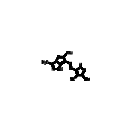 Cc1n[nH]c2c(N=Nc3[nH]nc(C(C)(C)C)c3C#N)c(C(C)(C)C)nn12